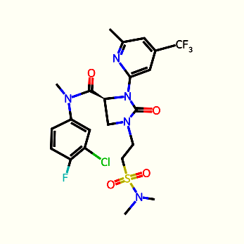 Cc1cc(C(F)(F)F)cc(N2C(=O)N(CCS(=O)(=O)N(C)C)C[C@H]2C(=O)N(C)c2ccc(F)c(Cl)c2)n1